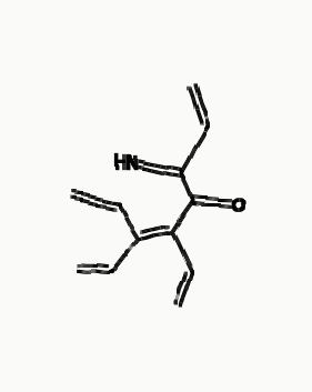 C=CC(=N)C(=O)C(C=C)=C(C=C)C=C